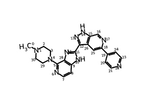 CN1CCN(c2nccc3[nH]c(-c4n[nH]c5cnc(-c6ccncc6)cc45)nc23)CC1